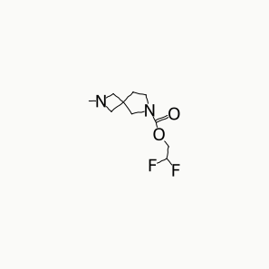 CN1CC2(CCN(C(=O)OCC(F)F)C2)C1